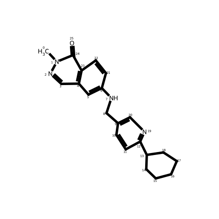 Cn1ncc2cc(NCc3ccc(C4CCCCC4)nc3)ccc2c1=O